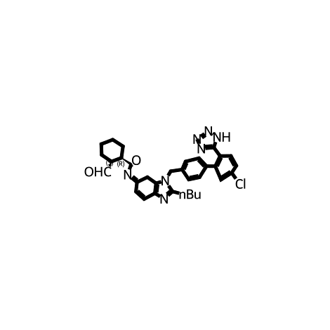 CCCCc1nc2c(n1Cc1ccc(-c3cc(Cl)ccc3-c3nnn[nH]3)cc1)CC(=NC(=O)[C@@H]1CCCC[C@@H]1C=O)C=C2